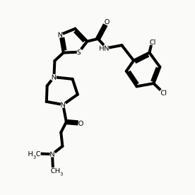 CN(C)CCC(=O)N1CCN(Cc2ncc(C(=O)NCc3ccc(Cl)cc3Cl)s2)CC1